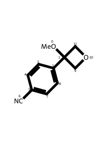 COC1(c2ccc(C#N)cc2)COC1